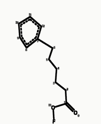 O=C(CCCCCc1ccccc1)OF